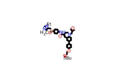 CCCCOCCOc1ccc(-c2ccc3c(c2)C=C(C(=O)Nc2ccc([S@+]([O-])Cc4c(C)ncn4CC)cc2)CCN3CC2COC2)cc1